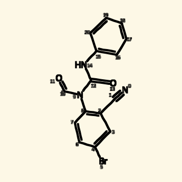 N#Cc1cc(Br)ccc1N([C]=O)C(=O)Nc1ccccc1